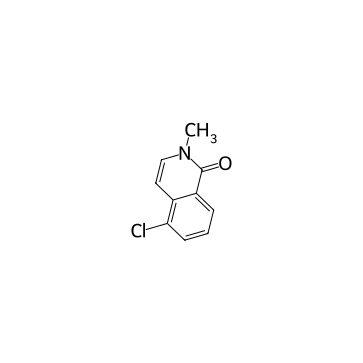 Cn1ccc2c(Cl)cccc2c1=O